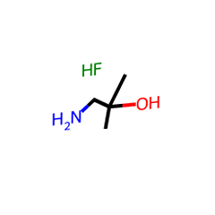 CC(C)(O)CN.F